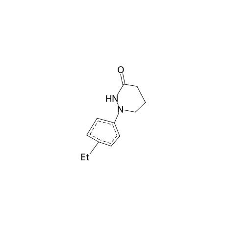 CCc1ccc(N2CCCC(=O)N2)cc1